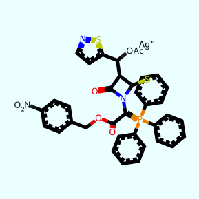 CC(=O)OC(c1ccns1)C1C(=O)N(C(C(=O)OCc2ccc([N+](=O)[O-])cc2)=P(c2ccccc2)(c2ccccc2)c2ccccc2)C1[S-].[Ag+]